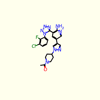 CC(=O)N1CCC(n2cc(-c3cnc(N)c(-c4nnnn4-c4cccc(Cl)c4F)c3)cn2)CC1